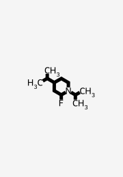 CC(C)C1CCN(C(C)C)C(F)C1